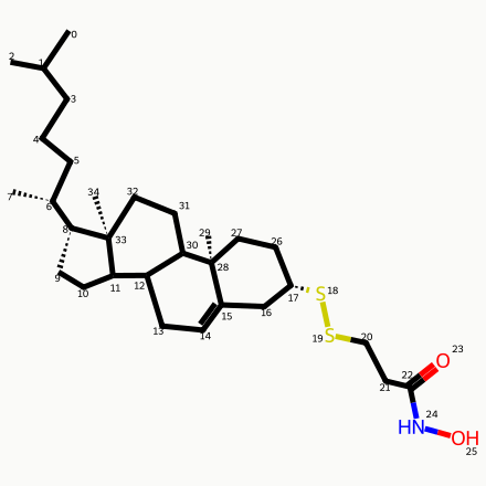 CC(C)CCC[C@@H](C)[C@H]1CCC2C3CC=C4C[C@@H](SSCCC(=O)NO)CC[C@]4(C)C3CC[C@@]21C